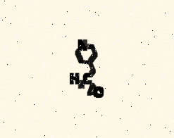 C1CO1.C=Cc1ccncc1